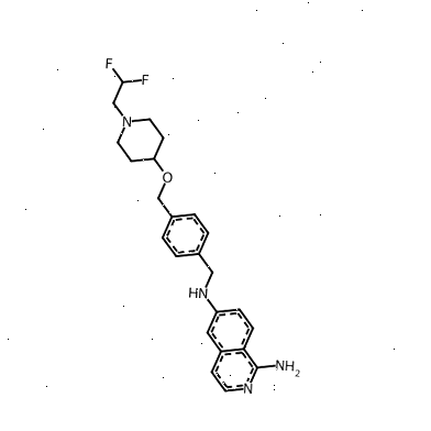 Nc1nccc2cc(NCc3ccc(COC4CCN(CC(F)F)CC4)cc3)ccc12